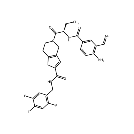 CC[C@@H](NC(=O)c1ccc(N)c(C=N)c1)C(=O)N1CCc2sc(C(=O)NCc3cc(F)c(F)cc3F)cc2C1